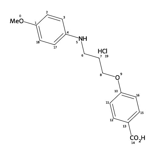 COc1ccc(NCCCOc2ccc(C(=O)O)cc2)cc1.Cl